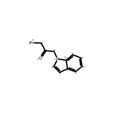 CC(C)CC(=O)Cn1ccc2ccccc21